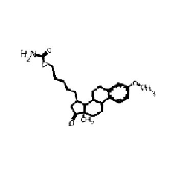 COc1ccc2c(c1)CCC1C2CC[C@]2(C)C(=O)CC(CCCCCOC(N)=O)C12